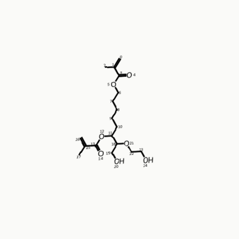 C=C(C)C(=O)OCCCCCC(OC(=O)C(=C)C)C(CO)OCCO